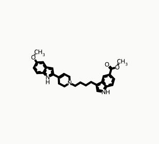 COC(=O)c1ccc2[nH]cc(CCCCN3CC=C(c4cc5cc(OC)ccc5[nH]4)CC3)c2c1